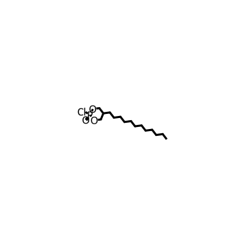 CCCCCCCCCCCCC1COP(=O)(Cl)OC1